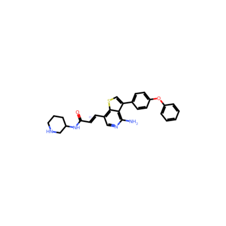 Nc1ncc(/C=C/C(=O)NC2CCCNC2)c2scc(-c3ccc(Oc4ccccc4)cc3)c12